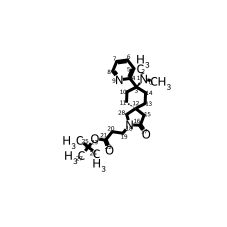 CN(C)[C@]1(c2ccccn2)CC[C@]2(CC1)CC(=O)N(CCC(=O)OC(C)(C)C)C2